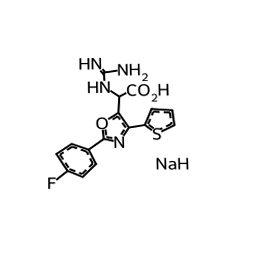 N=C(N)NC(C(=O)O)c1oc(-c2ccc(F)cc2)nc1-c1cccs1.[NaH]